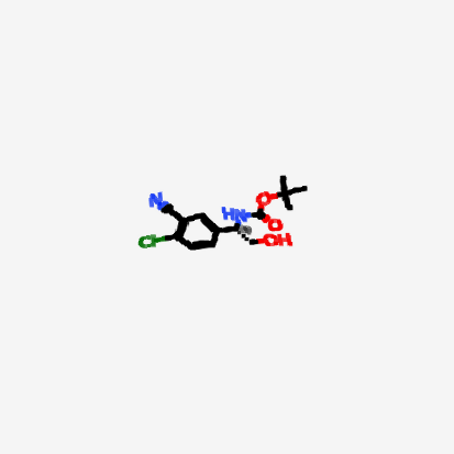 CC(C)(C)OC(=O)N[C@H](CO)c1ccc(Cl)c(C#N)c1